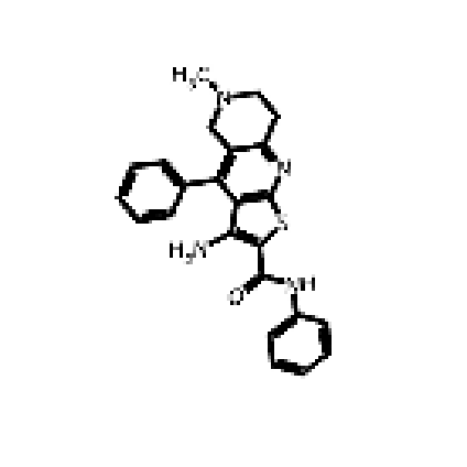 CN1CCc2nc3sc(C(=O)Nc4ccccc4)c(N)c3c(-c3ccccc3)c2C1